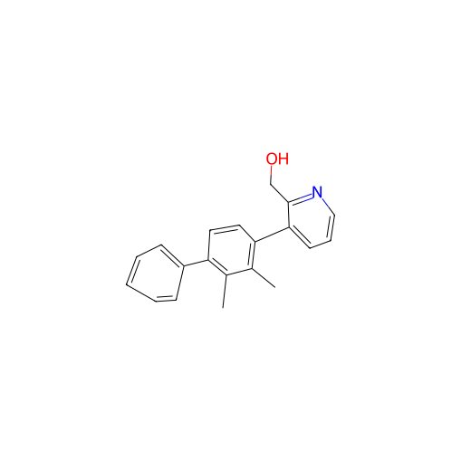 Cc1c(-c2ccccc2)ccc(-c2cccnc2CO)c1C